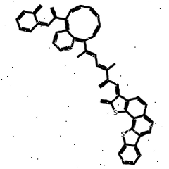 C=C(/C=c1\c(=C)sc2c1ccc1ccc3c4ccccc4sc3c12)/C(C)=C/C=C(\C)c1ccccccc(C(=C)/C=c2/ccccc2=C)c2ccccc12